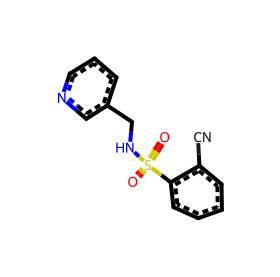 N#Cc1ccccc1S(=O)(=O)NCc1cccnc1